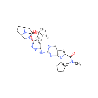 CN(C)C(=O)c1cc2cnc(Nc3ccc(N4CC5CCC(CC4=O)N5C(=O)OC(C)(C)C)nn3)nc2n1C1CCCC1